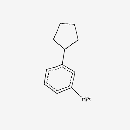 [CH2]CCc1cccc(C2CCCC2)c1